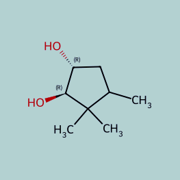 CC1C[C@@H](O)[C@H](O)C1(C)C